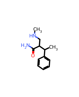 CNCC(C(N)=O)C(C)c1ccccc1